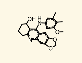 COc1cc(Nc2c3c(nc4cc5c(cc24)OCO5)CCCC3O)cc(C)c1C